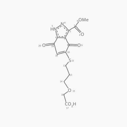 COC(=O)c1n[nH]c2c1C(=O)C(SCCCOCC(=O)O)=CC2=O